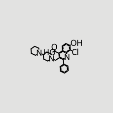 O=C(O)c1c(CN2CCC(N3CCCCC3)CC2)c(-c2ccccc2)nc2c(Cl)c(O)ccc12